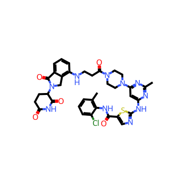 Cc1nc(Nc2ncc(C(=O)Nc3c(C)cccc3Cl)s2)cc(N2CCN(C(=O)CCNc3cccc4c3CN(C3CCC(=O)NC3=O)C4=O)CC2)n1